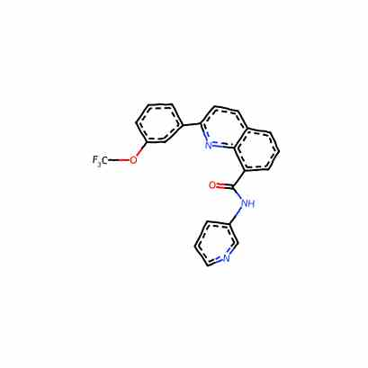 O=C(Nc1cccnc1)c1cccc2ccc(-c3cccc(OC(F)(F)F)c3)nc12